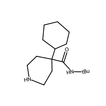 CC(C)(C)NC(=O)C1(C2CCCCC2)CCNCC1